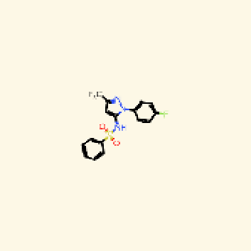 O=S(=O)(Nc1cc(C(F)(F)F)nn1-c1ccc(F)cc1)c1ccccc1